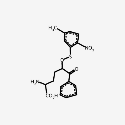 Cc1ccc([N+](=O)[O-])c(SOC(CCC(N)C(=O)O)C(=O)c2ccccc2)c1